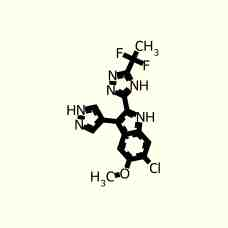 COc1cc2c(-c3cn[nH]c3)c(-c3nnc(C(C)(F)F)[nH]3)[nH]c2cc1Cl